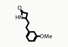 COC1=CCC=C(CCC2CC(=O)N2)C1